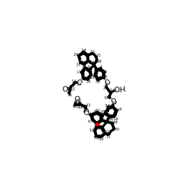 OC(COc1ccc(C2(c3ccc(OCC4CO4)cc3)CCCc3ccccc32)cc1)COc1ccc(C2(c3ccc(OCC4CO4)cc3)CCCc3ccccc32)cc1